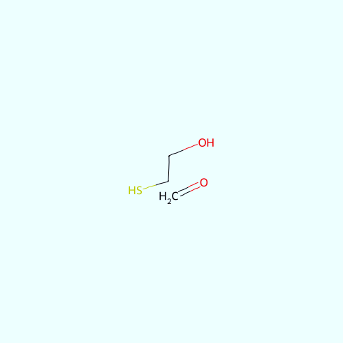 C=O.OCCS